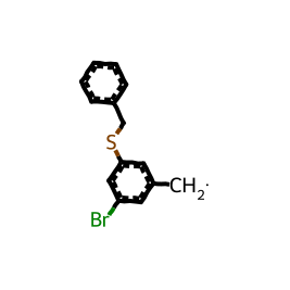 [CH2]c1cc(Br)cc(SCc2ccccc2)c1